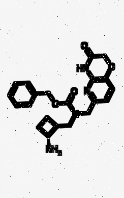 N[C@@H]1CCC1CN(Cc1ccc2c(n1)NC(=O)CO2)C(=O)OCc1ccccc1